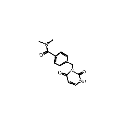 CN(C)C(=O)c1ccc(Cn2c(=O)cc[nH]c2=O)cc1